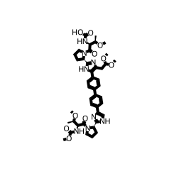 COC(=O)N[C@H](C(=O)N1CCC[C@H]1c1nc(-c2ccc(-c3ccc(-c4[nH]c([C@@H]5CCCN5C(=O)[C@@H](NC(=O)O)[C@@H](C)OC)nc4CC(OC)OC)cc3)cc2)c[nH]1)[C@@H](C)OC